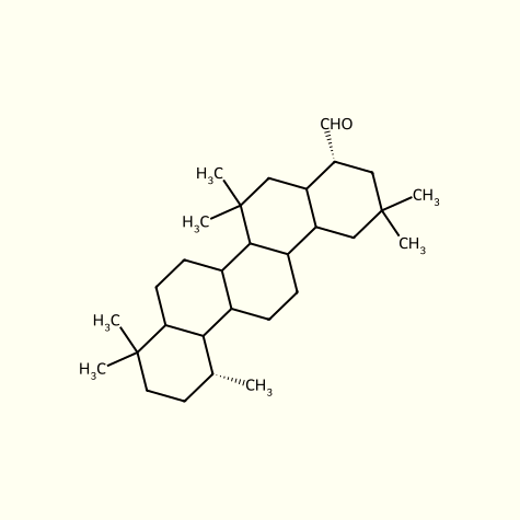 C[C@@H]1CCC(C)(C)C2CCC3C(CCC4C5CC(C)(C)C[C@@H](C=O)C5CC(C)(C)C34)C21